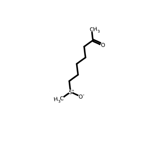 CC(=O)CCCCC[S+](C)[O-]